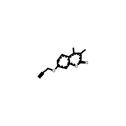 C#CCOc1ccc2c(C)c(C)c(=O)oc2c1